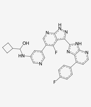 OC(Nc1cncc(-c2cnc3[nH]nc(-c4nc5c(-c6ccc(F)cc6)ccnc5[nH]4)c3c2F)c1)C1CCC1